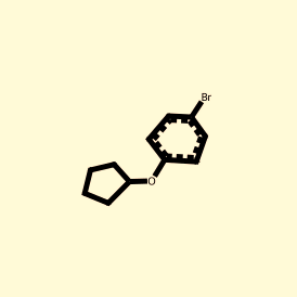 Brc1c[c]c(OC2CCCC2)cc1